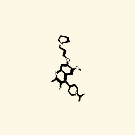 COc1cc2c(C3CCN(C(C)C)CC3)c(F)c(C)nc2cc1OCCCN1CCCC1